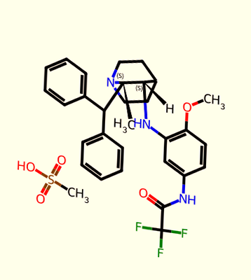 COc1ccc(NC(=O)C(F)(F)F)cc1N[C@H]1C2CCN(CC2)[C@@]1(C)C(c1ccccc1)c1ccccc1.CS(=O)(=O)O